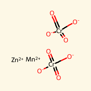 [Mn+2].[O]=[Cr](=[O])([O-])[O-].[O]=[Cr](=[O])([O-])[O-].[Zn+2]